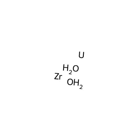 O.O.[U].[Zr]